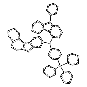 c1ccc(-n2c3ccccc3c3c(N(c4ccc([Si](c5ccccc5)(c5ccccc5)c5ccccc5)cc4)c4ccc5c(c4)sc4ccc6ccccc6c45)cccc32)cc1